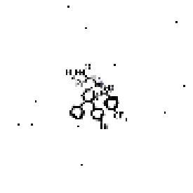 CC(C)C(N/C(=N/S(=O)(=O)c1ccc(C(F)(F)F)cc1)N1CCC(c2ccccc2)C(c2ccc(Br)cc2)=N1)C(N)=O